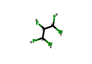 FC(Br)C(F)C(F)Br